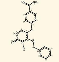 NC(=O)c1ccc(Cc2c[nH]c(=O)c(Br)c2OCc2ccccc2)cc1